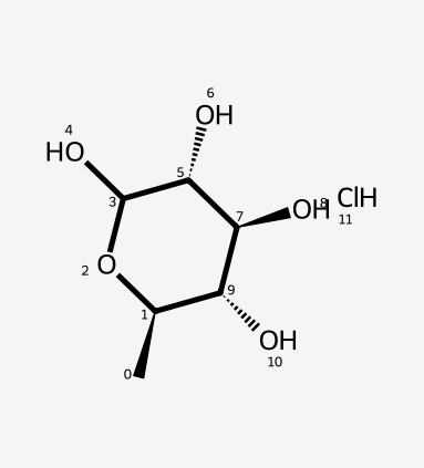 C[C@H]1OC(O)[C@H](O)[C@@H](O)[C@@H]1O.Cl